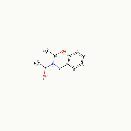 CC(O)N([CH]c1ccccc1)C(C)O